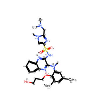 CCN(CC)Cc1nc(S(=O)(=O)Nc2nc3ccccc3nc2N(C)c2cc(OC)cc(OC)c2OCCCO)cn1C